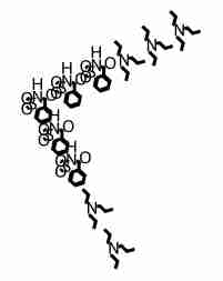 CCCN(CCC)CCC.CCCN(CCC)CCC.CCCN(CCC)CCC.CCCN(CCC)CCC.CCCN(CCC)CCC.O=C1NS(=O)(=O)c2ccccc21.O=C1NS(=O)(=O)c2ccccc21.O=C1NS(=O)(=O)c2ccccc21.O=C1NS(=O)(=O)c2ccccc21.O=C1NS(=O)(=O)c2ccccc21